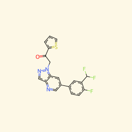 O=C(Cn1ncc2ncc(-c3ccc(F)c(C(F)F)c3)cc21)c1cccs1